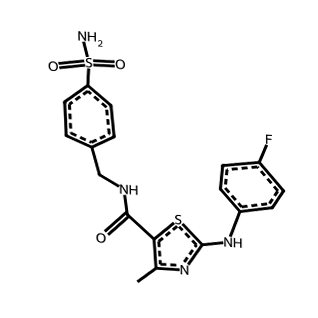 Cc1nc(Nc2ccc(F)cc2)sc1C(=O)NCc1ccc(S(N)(=O)=O)cc1